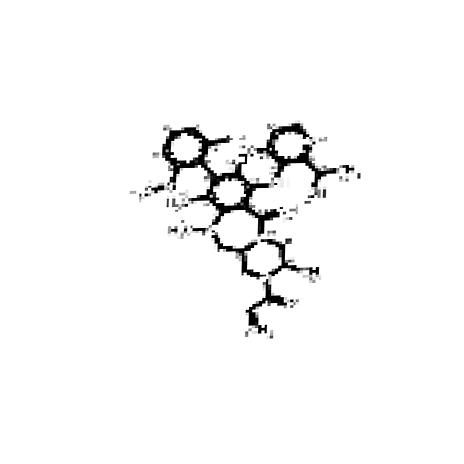 C=CC(=O)N1CC2CN(C)c3c(C)c(-c4c(F)cccc4OC)c(Cl)c(Nc4c(C)ccnc4C(C)O)c3C(=N)N2CC1C